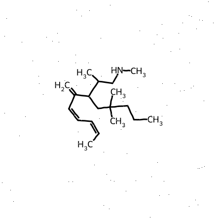 C=C(/C=C\C=C/C)C(CC(C)(C)CCC)C(C)CNC